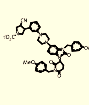 COc1ccc(CN2C(=O)CCC(n3c(=O)n(Cc4ccc(OC)cc4)c4cc(N5CCN(c6cccc(C7CN(C(=O)O)CC7C#N)c6)CC5)ccc43)C2=O)cc1